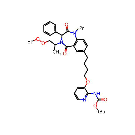 CCOOCC(C)N1C(=O)c2cc(CCCCOc3cccnc3NC(=O)OC(C)(C)C)ccc2N(C(C)C)C(=O)C1c1ccccc1